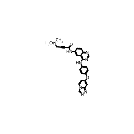 CN(C)CC#CC(=O)Nc1ccc2ncnc(Nc3ccc(Oc4ccn5cnnc5c4)cc3)c2c1